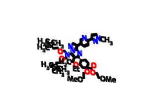 C=C(OCC)c1c(N(COCC[Si](C)(C)C)COCC[Si](C)(C)C)n2ncc(-c3ccc(-c4ccn(C)n4)nc3)c2nc1[C@H]1CC[C@](OCCOC)(C(=O)OCCOC)CC1